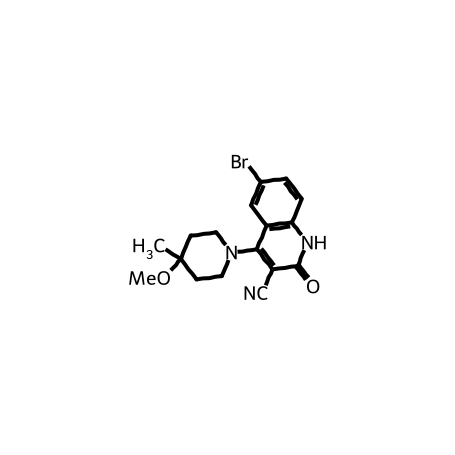 COC1(C)CCN(c2c(C#N)c(=O)[nH]c3ccc(Br)cc23)CC1